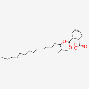 CCCCCCCCCCCCCC(OC(=O)C1CC=CCC1C(=O)O)C(C)C